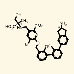 COc1nc(OCc2cccc(-c3cccc(-c4ccc5c(c4)C[C@@H](N)C5)c3Cl)c2Cl)c(Br)cc1CN[C@](C)(CO)C(=O)O